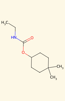 CCNC(=O)OC1CCC(C)(C)CC1